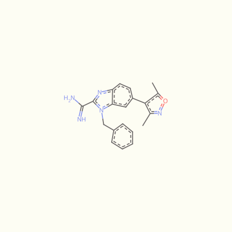 Cc1noc(C)c1-c1ccc2nc(C(=N)N)n(Cc3ccccc3)c2c1